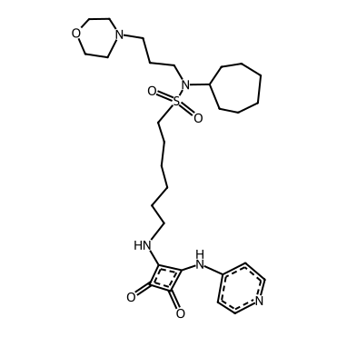 O=c1c(NCCCCCCS(=O)(=O)N(CCCN2CCOCC2)C2CCCCCC2)c(Nc2ccncc2)c1=O